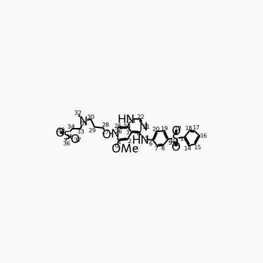 COC1=CC2=C(Nc3ccc(S(=O)(=O)c4ccccc4)cc3)N=CNC2=CN1OCCCN(C)CCS(C)(=O)=O